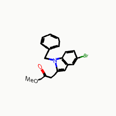 COC(=O)Cc1cc2cc(Br)ccc2n1Cc1ccccc1